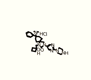 CN(C)C1(c2ccccc2)CCC2(CC1)CN(c1cnc(N3CCNCC3)nc1)C(=O)N2CC1(O)CCC1.Cl